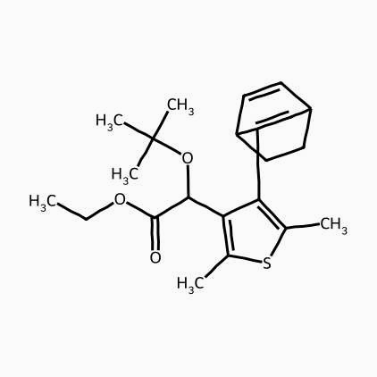 CCOC(=O)C(OC(C)(C)C)c1c(C)sc(C)c1C1=CC2C=CC1CC2